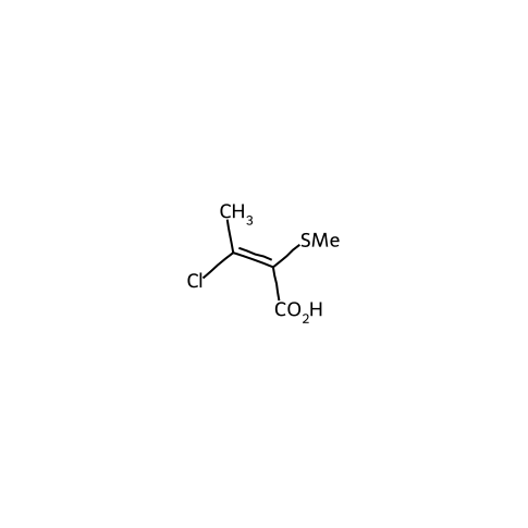 CS/C(C(=O)O)=C(\C)Cl